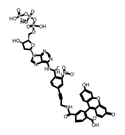 C[C@H](Nc1ncnc2c1ncn2[C@H]1C[C@@H](O)[C@@H](COP(=O)(O)OP(=O)(O)OP(=O)(O)O)O1)c1ccc(C#CCNC(=O)c2ccc(C(=O)O)c(-c3c4ccc(=O)cc-4oc4cc(O)ccc34)c2)cc1[N+](=O)[O-]